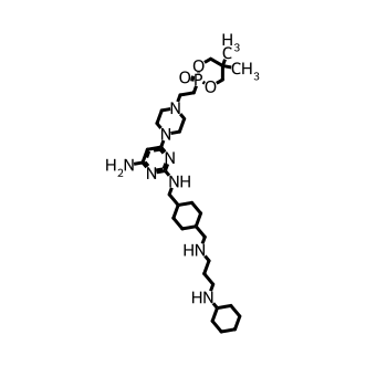 CC1(C)COP(=O)(CCN2CCN(c3cc(N)nc(NCC4CCC(CNCCCNC5CCCCC5)CC4)n3)CC2)OC1